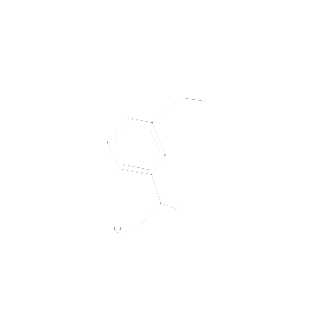 COC([O])c1cccc(SC(F)(F)F)c1